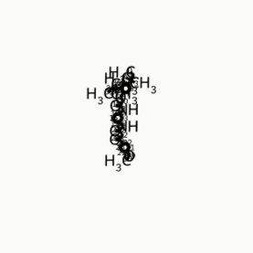 CCC(C)(C)c1ccc(OCC(=O)Nc2cccc(NC(=O)CC(=O)c3ccc(OC)cc3)c2)c(C(C)(C)CC)c1